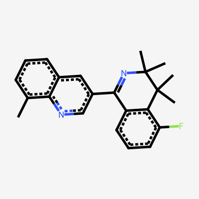 Cc1cccc2cc(C3=NC(C)(C)C(C)(C)c4c(F)cccc43)cnc12